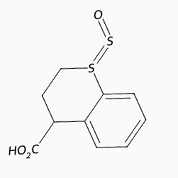 O=S=S1CCC(C(=O)O)c2ccccc21